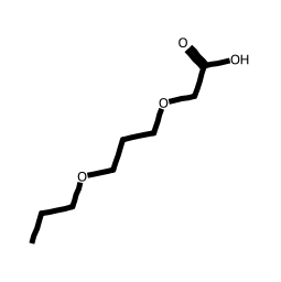 CCCOCCCOCC(=O)O